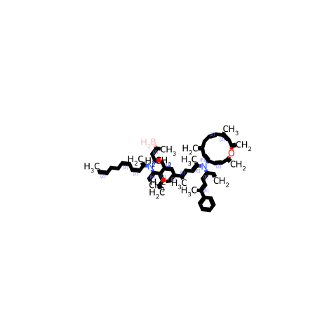 B/C(C)=C/C(=C)N(C(=C)/C=C\C=C/CC/C=C\C)C(=C/C)/C(=C\C=C)C(/C=C)=C\C(=C/C)C(\C)=C\C=C(/C)N(/C(C=C)=C/C=C(\C)c1ccccc1)C1=C/C(=C)C/C=C\C(C)=C/C(=C)OC(=C)/C=C\1